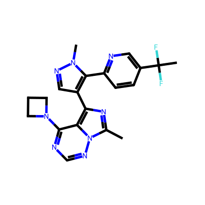 Cc1nc(-c2cnn(C)c2-c2ccc(C(C)(F)F)cn2)c2c(N3CCC3)ncnn12